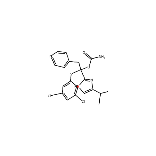 CC(C)c1c[nH]c(C(Cc2ccncc2)(OC(N)=O)Sc2cc(Cl)cc(Cl)c2)n1